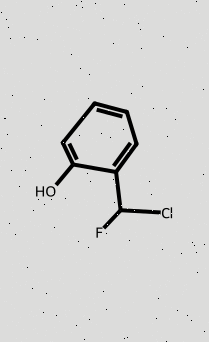 Oc1ccccc1C(F)Cl